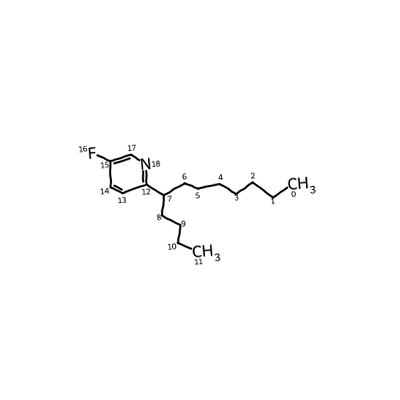 CCCCCCCC(CCCC)c1ccc(F)cn1